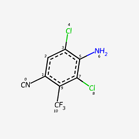 [C-]#[N+]c1cc(Cl)c(N)c(Cl)c1C(F)(F)F